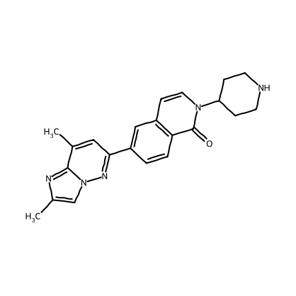 Cc1cn2nc(-c3ccc4c(=O)n(C5CCNCC5)ccc4c3)cc(C)c2n1